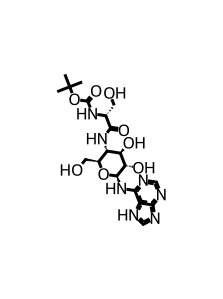 CC(C)(C)OC(=O)N[C@H](CO)C(=O)N[C@@H]1[C@@H](O)[C@H](O)[C@@H](Nc2ncnc3nc[nH]c23)O[C@H]1CO